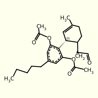 C=C(C=O)C1CCC(C)=C[C@H]1c1c(OC(C)=O)cc(CCCCC)cc1OC(C)=O